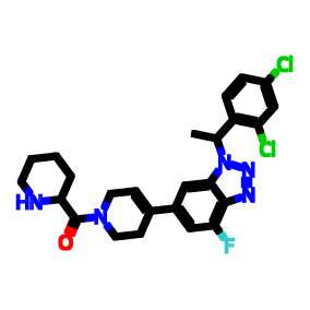 CC(c1ccc(Cl)cc1Cl)n1nnc2c(F)cc(C3=CCN(C(=O)C4CCCCN4)CC3)cc21